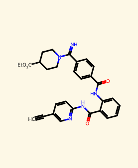 C#Cc1ccc(NC(=O)c2ccccc2NC(=O)c2ccc(C(=N)N3CCC(C(=O)OCC)CC3)cc2)nc1